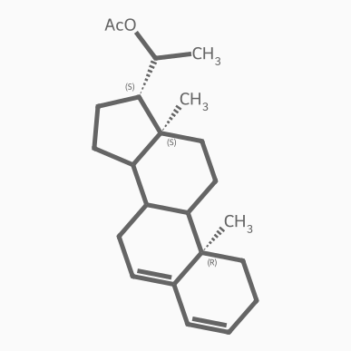 CC(=O)OC(C)[C@H]1CCC2C3CC=C4C=CCC[C@]4(C)C3CC[C@@]21C